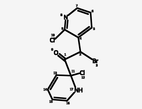 O=C(C(Br)c1cccnc1Cl)C1(Cl)C=CC=CN1